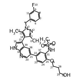 Cc1nn(Cc2cccc(F)c2)c(C)c1-c1c[nH]c2ncc(-c3ccc(OCCCO)c(NS(C)(=O)=O)c3)cc12